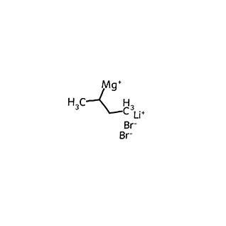 CC[CH](C)[Mg+].[Br-].[Br-].[Li+]